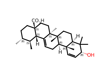 C[C@H]1[C@H](C)CC[C@]2(C(=O)O)CC[C@]3(C)C(=CC[C@@H]4[C@@]5(C)C=C[C@@H](O)C(C)(C)[C@@H]5CC[C@]43C)[C@H]12